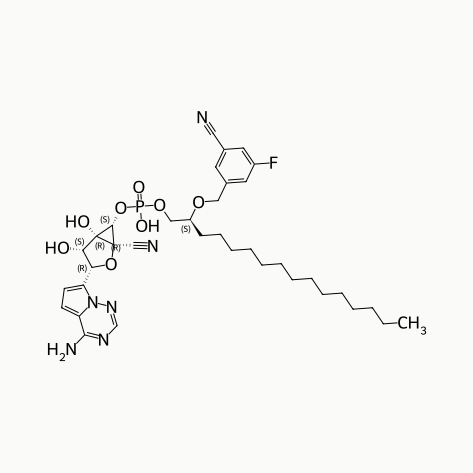 CCCCCCCCCCCCCC[C@@H](COP(=O)(O)O[C@H]1[C@]2(O)[C@@H](O)[C@@H](c3ccc4c(N)ncnn34)O[C@]12C#N)OCc1cc(F)cc(C#N)c1